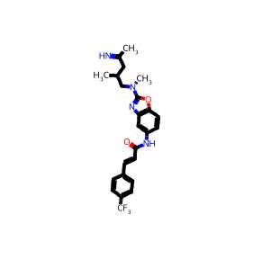 CC(=N)CC(C)CN(C)c1nc2cc(NC(=O)C=Cc3ccc(C(F)(F)F)cc3)ccc2o1